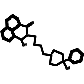 O=C1c2cccc3cccc(c23)C(O)N1CCCCN1CCC(O)(c2ccccc2)CC1